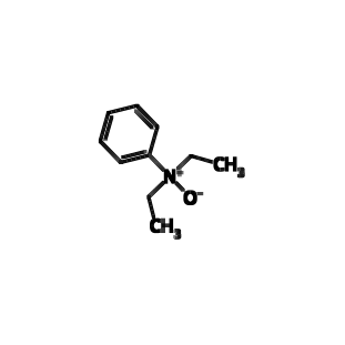 CC[N+]([O-])(CC)c1ccccc1